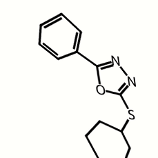 c1ccc(-c2nnc(SC3CCCCC3)o2)cc1